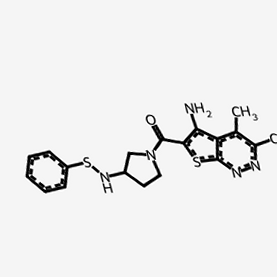 Cc1nnc2sc(C(=O)N3CCC(NSc4ccccc4)C3)c(N)c2c1C